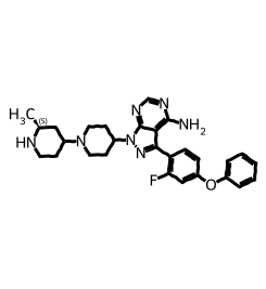 C[C@H]1CC(N2CCC(n3nc(-c4ccc(Oc5ccccc5)cc4F)c4c(N)ncnc43)CC2)CCN1